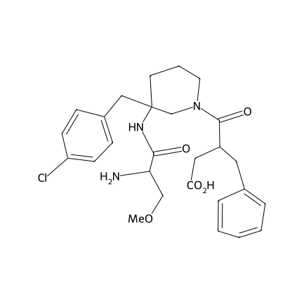 COCC(N)C(=O)NC1(Cc2ccc(Cl)cc2)CCCN(C(=O)C(CC(=O)O)Cc2ccccc2)C1